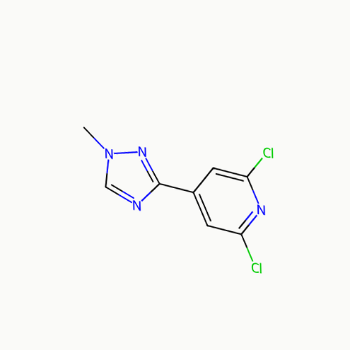 Cn1cnc(-c2cc(Cl)nc(Cl)c2)n1